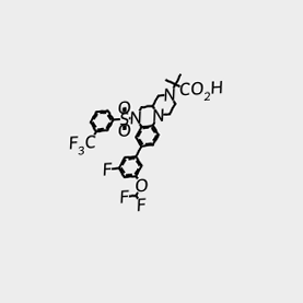 CC(C)(C(=O)O)N1CCN2c3ccc(-c4cc(F)cc(OC(F)F)c4)cc3N(S(=O)(=O)c3cccc(C(F)(F)F)c3)CC2C1